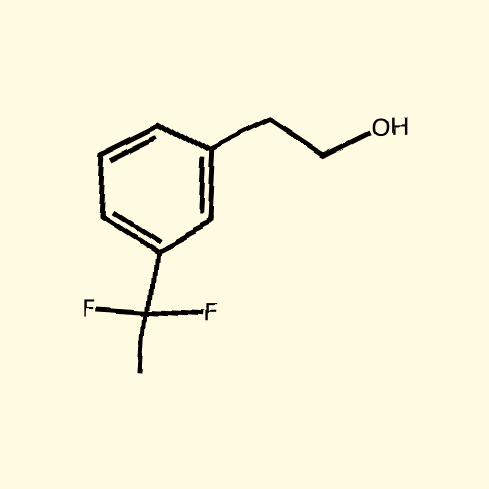 CC(F)(F)c1cccc(CCO)c1